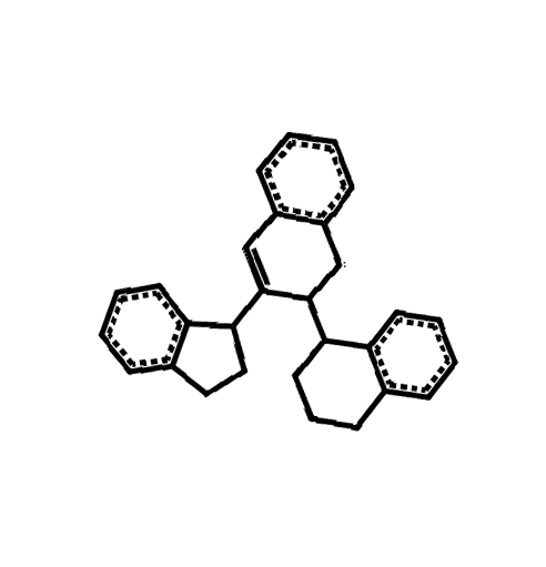 [C]1c2ccccc2C=C(C2CCc3ccccc32)C1C1CCCc2ccccc21